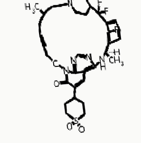 CC1C/C=C\CCn2c(=O)c(C3CCS(=O)(=O)CC3)cc3c(ncnc32)N[C@H](C)c2cccc(c2F)C(F)(F)C2CCN(CC2)C1